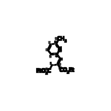 CCOC(=O)CC(=Cc1cccc(C)n1)C(=O)OCC